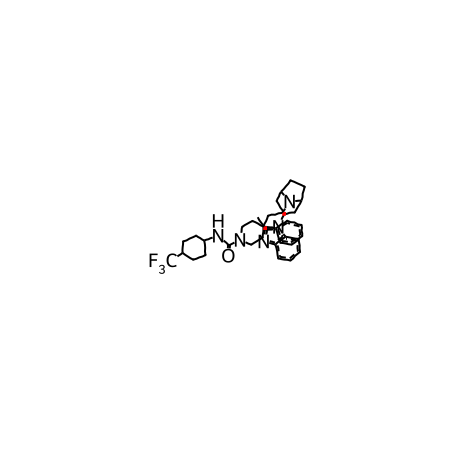 Cc1nc2ccccc2n1C1CC2CCC(C1)N2CCC1(c2ccccc2)CCN(C(=O)NC2CCC(C(F)(F)F)CC2)CC1